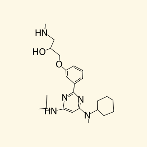 CNCC(O)COc1cccc(-c2nc(NC(C)C)cc(N(C)C3CCCCC3)n2)c1